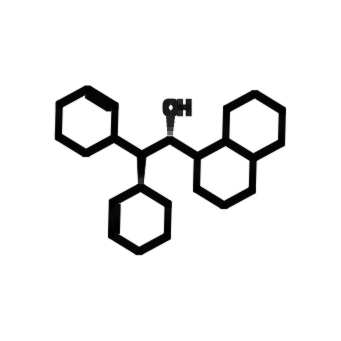 O[C@H](C1CCCC2CCCCC21)C(C1C=CCCC1)[C@@H]1C=CCCC1